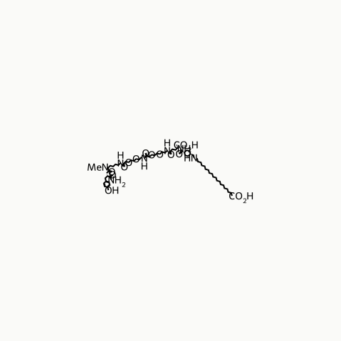 CN[C@@H](CCCCNC(=O)COCCOCCNC(=O)COCCOCCNC(=O)CC[C@H](NC(=O)[C@H]1CC[C@H](CNCCCCCCCCCCCCCCCCCCCC(=O)O)CC1)C(=O)O)C(=O)C[C@@H](Cc1ccc(O)cc1)C(N)=O